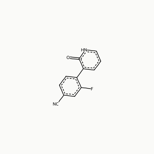 N#Cc1ccc(-c2ccc[nH]c2=O)c(F)c1